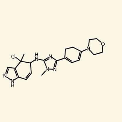 Cn1nc(C2=CC=C(N3CCOCC3)CC2)nc1NC1C=Cc2[nH]ncc2C1(C)Cl